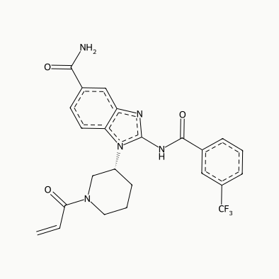 C=CC(=O)N1CCC[C@@H](n2c(NC(=O)c3cccc(C(F)(F)F)c3)nc3cc(C(N)=O)ccc32)C1